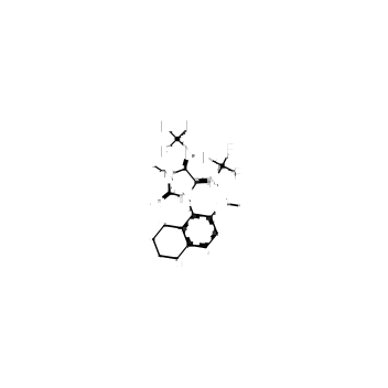 COc1ccc2c(c1N1C(=O)N(C)C(=NC(F)(F)F)C1=NC(F)(F)F)CCCC2